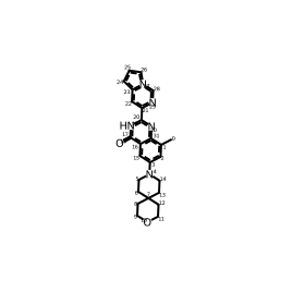 Cc1cc(N2CCC3(CCOCC3)CC2)cc2c(=O)[nH]c(-c3cc4cccn4cn3)nc12